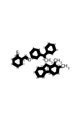 CC(c1ccccc1)c1ccccc1.Cc1ccc2c(c1C)Cc1ccccc1-2.O=Cc1ccccc1F